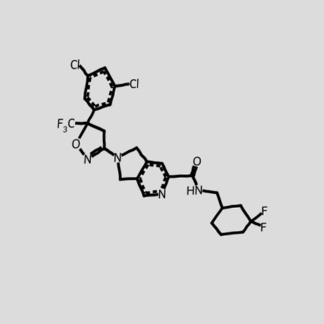 O=C(NCC1CCCC(F)(F)C1)c1cc2c(cn1)CN(C1=NOC(c3cc(Cl)cc(Cl)c3)(C(F)(F)F)C1)C2